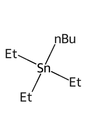 CCC[CH2][Sn]([CH2]C)([CH2]C)[CH2]C